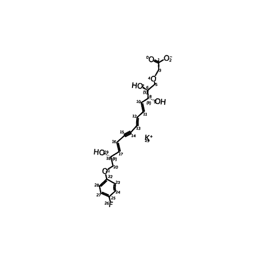 O=C([O-])COC[C@H](O)[C@H](O)C=CC=CC#CC=C[C@@H](O)COc1ccc(F)cc1.[K+]